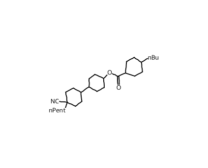 CCCCCC1(C#N)CCC(C2CCC(OC(=O)C3CCC(CCCC)CC3)CC2)CC1